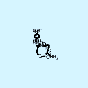 NC(=O)OC1CCCCCC=CC2CC2(C(=O)NS(=O)(=O)c2ccc([N+](=O)[O-])cc2)NC(=O)C2CCCN2C1=O